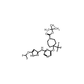 CC(C)(C)OC(=O)N1CCCC(Oc2cncc(Nc3cc(OC(F)F)[nH]n3)n2)(C(F)(F)F)CC1